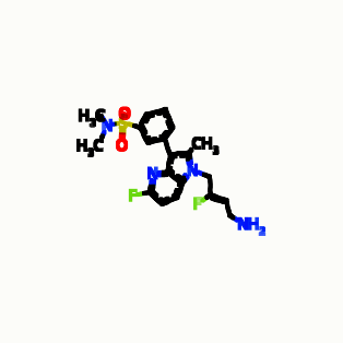 Cc1c(-c2cccc(S(=O)(=O)N(C)C)c2)c2nc(F)ccc2n1CC(F)=CCN